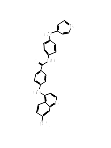 Nc1ccc2c(Nc3ccc(C(=O)Nc4ccc(Nc5ccncc5)cc4)cc3)ccnc2c1